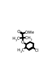 COC(=O)C(C)(C)OC1CCC(Cl)=CC1C